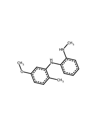 CNc1ccccc1Nc1cc(OC)ccc1C